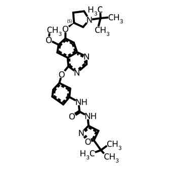 COc1cc2c(Oc3cccc(NC(=O)Nc4cc(C(C)(C)C)on4)c3)ncnc2cc1O[C@H]1CCN(C(C)(C)C)C1